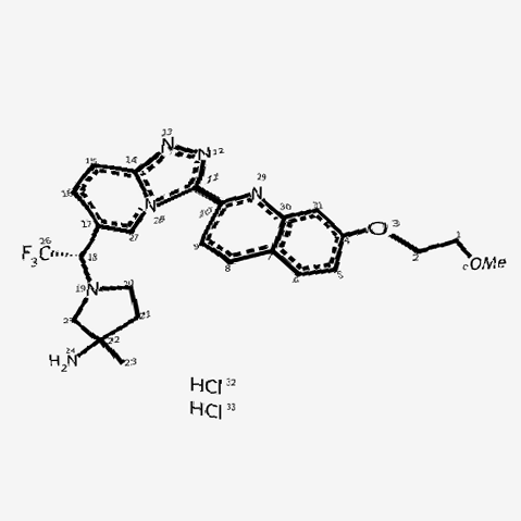 COCCOc1ccc2ccc(-c3nnc4ccc([C@H](N5CCC(C)(N)C5)C(F)(F)F)cn34)nc2c1.Cl.Cl